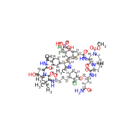 COC(=O)N1CC[C@H]2CC[C@@H](C(=O)N[C@@H](CCC(N)=O)COc3cccc(CCCC(=O)N[C@H](C(=O)N4C[C@H](O)C[C@H]4C(=O)N[C@@H](C)c4ccc(-c5scnc5C)cc4)C(C)(C)C)c3Cl)N2C(=O)[C@@H](NC(=O)c2cc3cc(C(F)(F)P(=O)(O)O)ccc3s2)C1